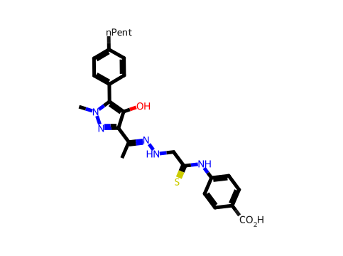 CCCCCc1ccc(-c2c(O)c(C(C)=NNCC(=S)Nc3ccc(C(=O)O)cc3)nn2C)cc1